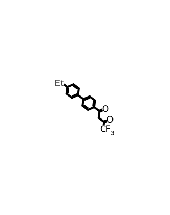 CCc1ccc(-c2ccc(C(=O)CC(=O)C(F)(F)F)cc2)cc1